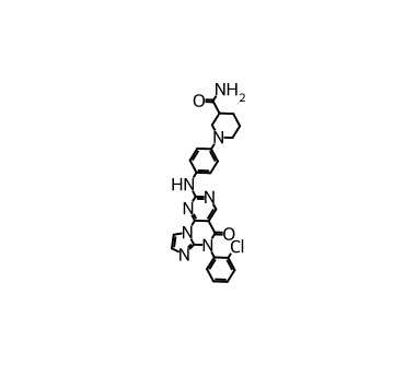 NC(=O)C1CCCN(c2ccc(Nc3ncc4c(=O)n(-c5ccccc5Cl)c5nccn5c4n3)cc2)C1